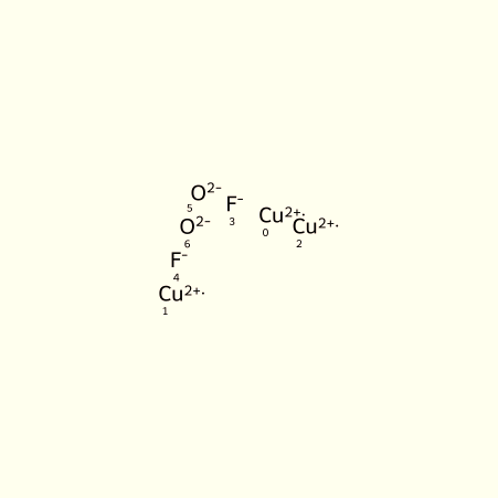 [Cu+2].[Cu+2].[Cu+2].[F-].[F-].[O-2].[O-2]